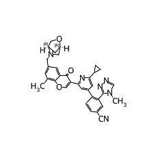 Cc1cc(CN2C[C@H]3C[C@@H]2CO3)cc2c(=O)c(-c3cc(-c4ccc(C#N)cc4-c4nncn4C)cc(C4CC4)n3)coc12